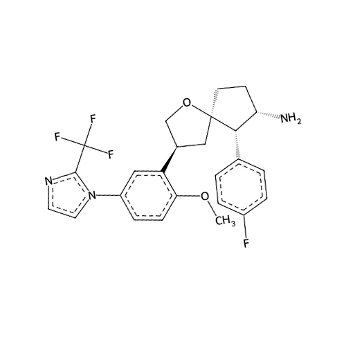 COc1ccc(-n2ccnc2C(F)(F)F)cc1[C@H]1CO[C@]2(CC[C@H](N)[C@@H]2c2ccc(F)cc2)C1